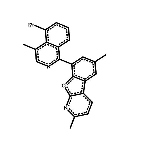 Cc1cc(-c2ncc(C)c3c(C(C)C)cccc23)c2oc3nc(C)ccc3c2c1